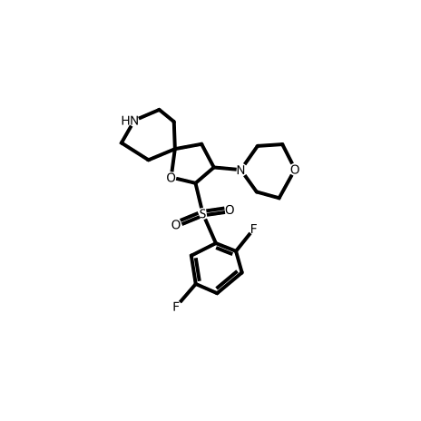 O=S(=O)(c1cc(F)ccc1F)C1OC2(CCNCC2)CC1N1CCOCC1